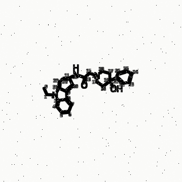 CCn1c2ccccc2c2cc(NC(=O)CN3CCC(O)(c4ccccc4)CC3)ccc21